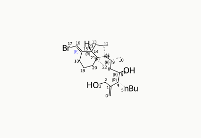 C=C(CO)[C@@H](CCCC)[C@H](O)C[C@@H](C)[C@H]1CC[C@H]2/C(=C/Br)CCC[C@]12C